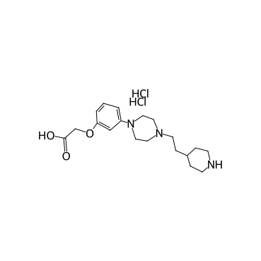 Cl.Cl.O=C(O)COc1cccc(N2CCN(CCC3CCNCC3)CC2)c1